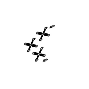 [Al+3].[Al+3].[O]=[Cr](=[O])([O-])[O-].[O]=[Cr](=[O])([O-])[O-].[O]=[Cr](=[O])([O-])[O-]